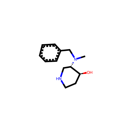 CN(Cc1ccccc1)[C@H]1CNCC[C@@H]1O